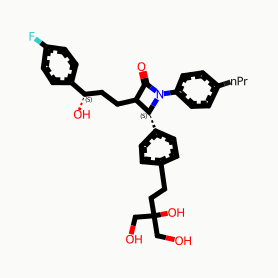 CCCc1ccc(N2C(=O)C(CC[C@H](O)c3ccc(F)cc3)[C@H]2c2ccc(CCC(O)(CO)CO)cc2)cc1